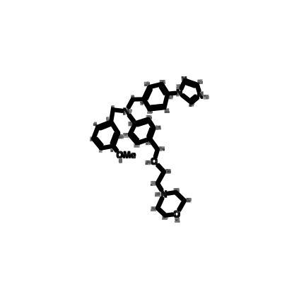 COc1cccc(CN(Cc2ccc(-n3ccnc3)cc2)c2ccc(COCCN3CCOCC3)cc2)c1